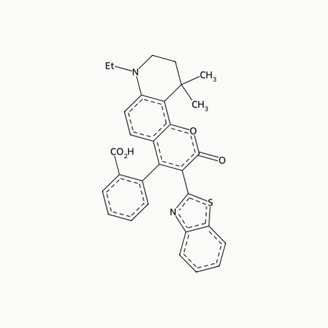 CCN1CCC(C)(C)c2c1ccc1c(-c3ccccc3C(=O)O)c(-c3nc4ccccc4s3)c(=O)oc21